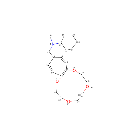 CN(CC1C=CC2=C(C=C1)OCCOCCOCCO2)C1CCCCC1